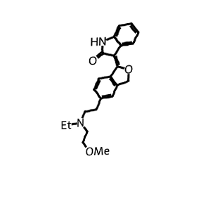 CCN(CCOC)CCc1ccc2c(c1)CO/C2=C1/C(=O)Nc2ccccc21